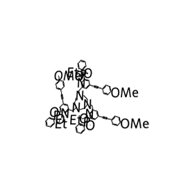 CCOP(=O)(c1ccccc1)c1cc(C#Cc2ccc(OC)cc2)cc(CN2CCN(Cc3cc(C#Cc4ccc(OC)cc4)cc(P(=O)(OCC)c4ccccc4)n3)CCN(Cc3cc(C#Cc4ccc(OC)cc4)cc(P(=O)(OCC)c4ccccc4)n3)CC2)n1